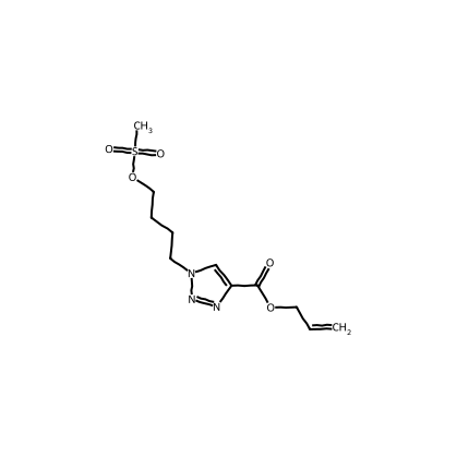 C=CCOC(=O)c1cn(CCCCOS(C)(=O)=O)nn1